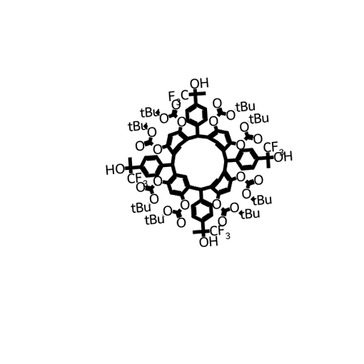 CC(C)(C)OC(=O)Oc1cc(OC(=O)OC(C)(C)C)c2cc1C(c1ccc(C(C)(O)C(F)(F)F)cc1)c1cc(c(OC(=O)OC(C)(C)C)cc1OC(=O)OC(C)(C)C)C(c1ccc(C(C)(O)C(F)(F)F)cc1)c1cc(c(OC(=O)OC(C)(C)C)cc1OC(=O)OC(C)(C)C)C(c1ccc(C(C)(O)C(F)(F)F)cc1)c1cc(c(OC(=O)OC(C)(C)C)cc1OC(=O)OC(C)(C)C)C2c1ccc(C(C)(O)C(F)(F)F)cc1